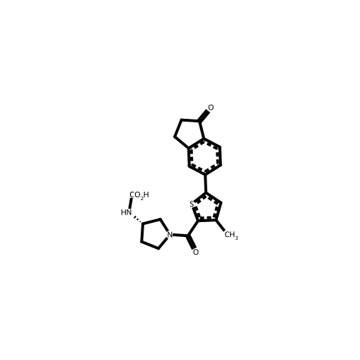 Cc1cc(-c2ccc3c(c2)CCC3=O)sc1C(=O)N1CC[C@H](NC(=O)O)C1